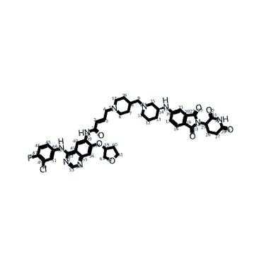 O=C(/C=C/CN1CCC(CN2CCC[C@H](Nc3ccc4c(c3)C(=O)N(C3CCC(=O)NC3=O)C4=O)C2)CC1)Nc1cc2c(Nc3ccc(F)c(Cl)c3)ncnc2cc1OC1CCOC1